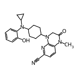 CN1C(=O)CN(C2CCC(N(c3ccccc3O)C3CC3)CC2)c2nc(C#N)ccc21